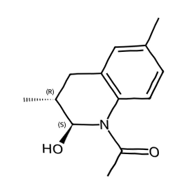 CC(=O)N1c2ccc(C)cc2C[C@@H](C)[C@@H]1O